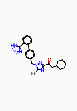 CCc1nc(C(=O)CC2CCCCC2)nn1Cc1ccc(-c2ccccc2-c2nnn[nH]2)cc1